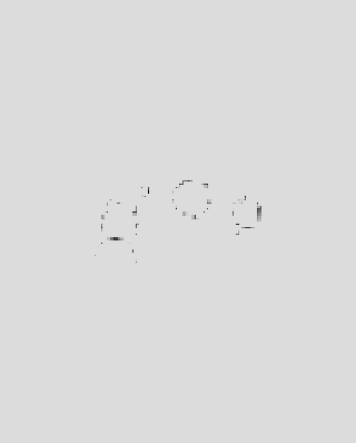 Cc1ccc(Oc2ccc(-c3cccs3)cc2)cc1C